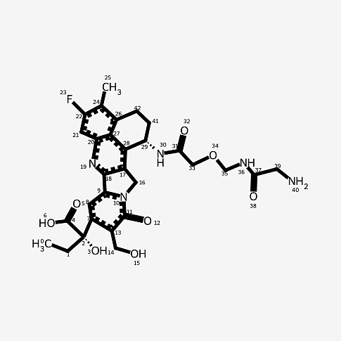 CC[C@@](O)(C(=O)O)c1cc2n(c(=O)c1CO)Cc1c-2nc2cc(F)c(C)c3c2c1[C@@H](NC(=O)COCNC(=O)CN)CC3